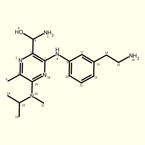 Cc1nc(C(N)O)c(Nc2cccc(CCN)c2)nc1N(C)C(C)C